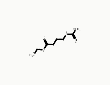 CCOC(=O)[CH]CCSC(C)=O